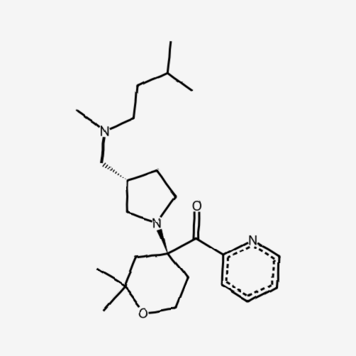 CC(C)CCN(C)C[C@@H]1CCN([C@@]2(C(=O)c3ccccn3)CCOC(C)(C)C2)C1